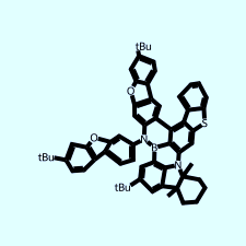 CC(C)(C)c1cc2c3c(c1)C1(C)CCCCC1(C)N3c1cc3sc4ccccc4c3c3c1B2N(c1ccc2c(c1)oc1cc(C(C)(C)C)ccc12)c1cc2oc4cc(C(C)(C)C)ccc4c2cc1-3